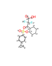 Cc1ccc(S(=O)(=O)OC(C2CCCCC2)C(F)(F)C(=O)O)cc1